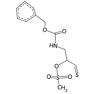 CS(=O)(=O)OC(C=S)CNC(=O)OCc1ccccc1